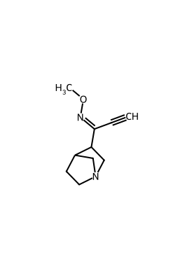 C#CC(=NOC)C1CN2CCC1C2